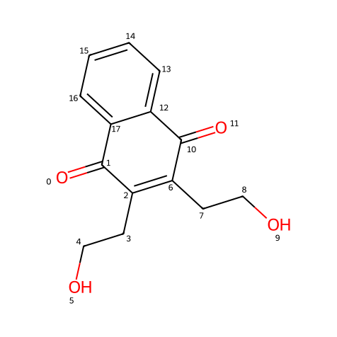 O=C1C(CCO)=C(CCO)C(=O)c2ccccc21